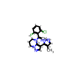 C=C(c1c(F)cccc1Cl)N1CCCn2ncc(-c3[nH]ncc3C)c21